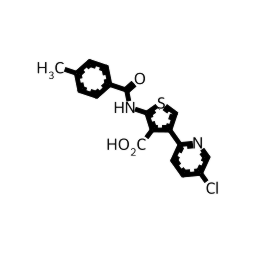 Cc1ccc(C(=O)Nc2scc(-c3ccc(Cl)cn3)c2C(=O)O)cc1